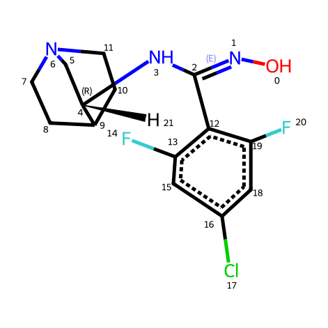 O/N=C(/N[C@H]1CN2CCC1CC2)c1c(F)cc(Cl)cc1F